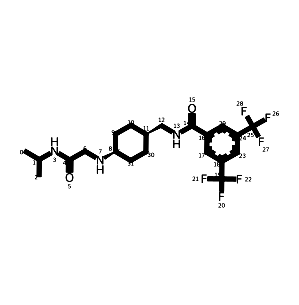 CC(C)NC(=O)CN[C@H]1CC[C@@H](CNC(=O)c2cc(C(F)(F)F)cc(C(F)(F)F)c2)CC1